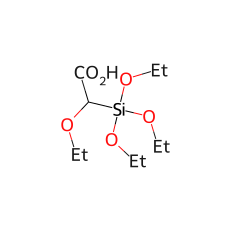 CCOC(C(=O)O)[Si](OCC)(OCC)OCC